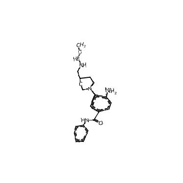 COBNCC1CCN(c2cc(C(=O)Nc3ccccc3)ccc2N)CC1